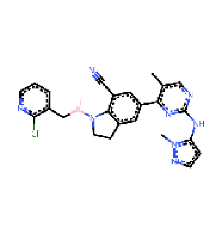 Cc1cnc(Nc2ccnn2C)nc1-c1cc(C#N)c2c(c1)CCN2BCc1cccnc1Cl